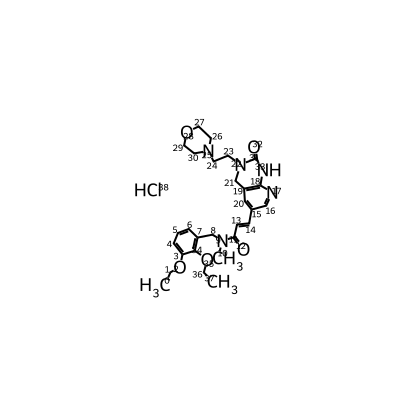 CCOc1cccc(CN(C)C(=O)C=Cc2cnc3c(c2)CN(CCN2CCOCC2)C(=O)N3)c1OCC.Cl